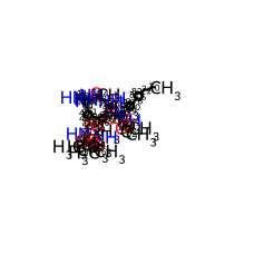 CCCCc1ccc(-c2ccc(C(=O)N[C@@H](CNC(=O)OC(C)(C)C)C(=O)N(C)[C@@H]3C(=O)N[C@@H](C)C(=O)N[C@H](C4=NNCN4)Cc4ccc(OCCNC(=O)OC(C)(C)C)c(c4)-c4cc3ccc4OCCNC(=O)OC(C)(C)C)cc2)cc1